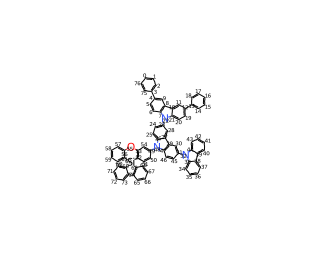 c1ccc(-c2ccc3c(c2)c2cc(-c4ccccc4)ccc2n3-c2ccc3c(c2)c2cc(-n4c5ccccc5c5ccccc54)ccc2n3-c2ccc3c(c2)Oc2ccccc2[Si]3(c2ccccc2)c2ccccc2)cc1